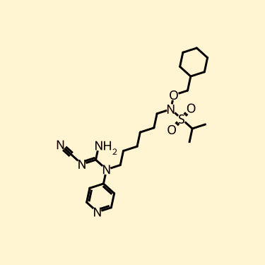 CC(C)S(=O)(=O)N(CCCCCCN(C(N)=NC#N)c1ccncc1)OCC1CCCCC1